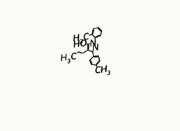 CCCc1c(-c2ccc(C)cc2)nn(-c2ccccc2C)c1O